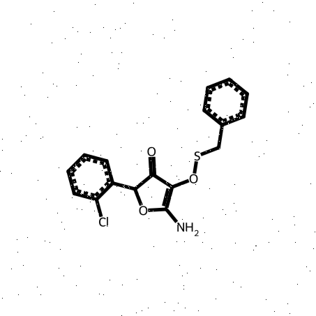 NC1=C(OSCc2ccccc2)C(=O)C(c2ccccc2Cl)O1